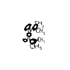 Cc1cc(C)cc(N(c2ccccc2)c2ccc(N(c3ccccc3)c3cc(C)cc(C)c3)cc2)c1